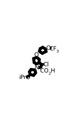 CC(C)Oc1ccc(-n2c(C(=O)O)c(Cl)c3cc(Oc4ccc(OC(F)(F)F)cc4)ccc32)cc1